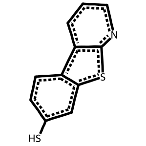 Sc1ccc2c(c1)sc1ncccc12